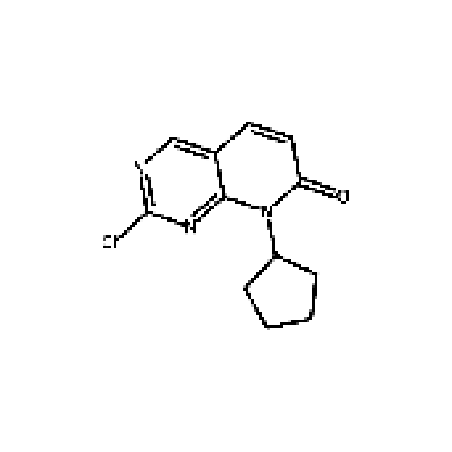 O=c1ccc2cnc(Cl)nc2n1C1CCCC1